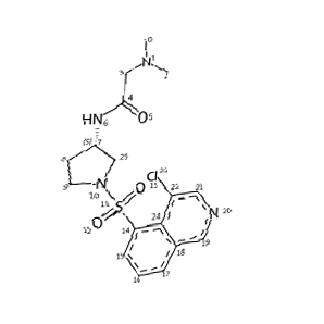 CN(C)CC(=O)N[C@H]1CCN(S(=O)(=O)c2cccc3cncc(Cl)c23)C1